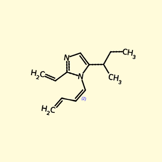 C=C/C=C\n1c(C(C)CC)cnc1C=C